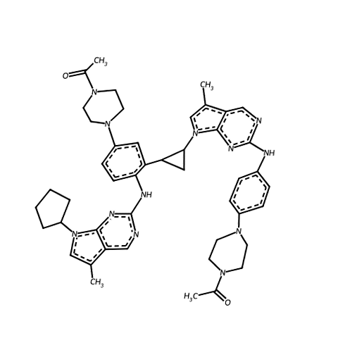 CC(=O)N1CCN(c2ccc(Nc3ncc4c(C)cn(C5CC5c5cc(N6CCN(C(C)=O)CC6)ccc5Nc5ncc6c(C)cn(C7CCCC7)c6n5)c4n3)cc2)CC1